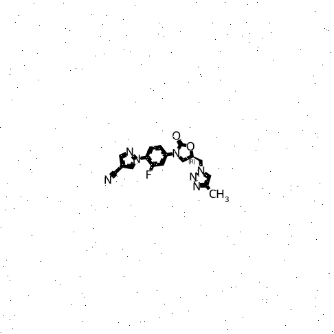 Cc1cn(C[C@H]2CN(c3ccc(-n4cc(C#N)cn4)c(F)c3)C(=O)O2)nn1